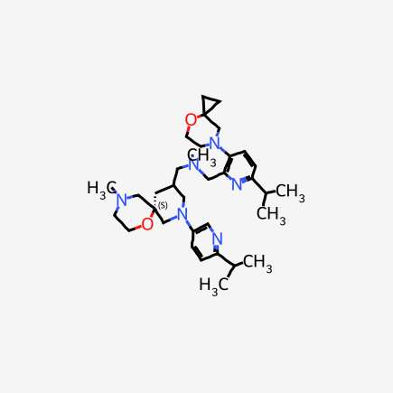 CC(C)c1ccc(N2CC(CN(C)Cc3nc(C(C)C)ccc3N3CCOC4(CC4)C3)C[C@]3(CN(C)CCO3)C2)cn1